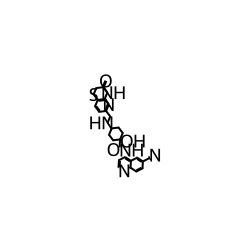 N#Cc1ccc2nccc(NC(=O)[C@]3(O)CC[C@@H](NCc4ccc5c(n4)NC(=O)CS5)CC3)c2c1